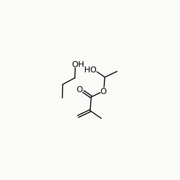 C=C(C)C(=O)OC(C)O.CCCO